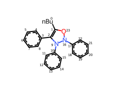 CCCCC1=C(c2ccccc2)N(c2ccccc2)N(c2ccccc2)O1